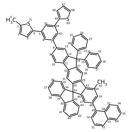 Cc1ccc(-c2cc(-c3ccc4c(c3)C(c3ccccc3)(c3ccccc3)c3cc5c(cc3-4)C3(c4ccccc4-c4ccccc43)c3cc(-c4cccc6ccccc46)cc(C)c3-5)cc(-c3cccs3)c2)s1